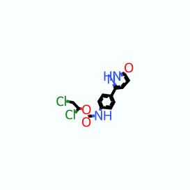 O=C(Nc1ccc(-c2ccc(=O)[nH]n2)cc1)OC(Cl)CCl